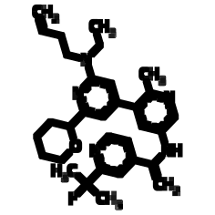 C=CCCN(CC)c1cc(-c2cc(NC(=C)c3ccnc(C(C)(C)F)c3)cnc2C)cc(C2CCCCO2)n1